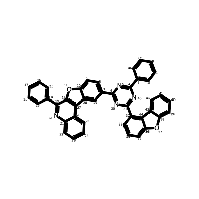 c1ccc(-c2nc(-c3ccc4oc5c(-c6ccccc6)nc6ccccc6c5c4c3)nc(-c3cccc4oc5ccccc5c34)n2)cc1